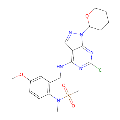 COc1ccc(N(C)S(C)(=O)=O)c(CNc2nc(Cl)nc3c2cnn3C2CCCCO2)c1